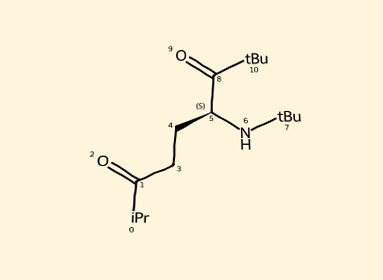 CC(C)C(=O)CC[C@H](NC(C)(C)C)C(=O)C(C)(C)C